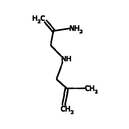 C=C(C)CNCC(=C)N